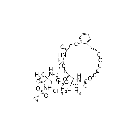 CCC[C@@](C)(NC(=O)[C@@H]1C[C@@H]2CN1C(=O)[C@H](C(C)(C)C)NC(=O)OCCCCC/C=C/c1ccccc1CCC(=O)N2)C(=O)NS(=O)(=O)C1CC1